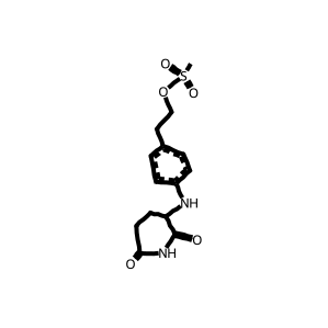 CS(=O)(=O)OCCc1ccc(NC2CCC(=O)NC2=O)cc1